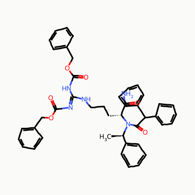 C[C@H](c1ccccc1)N(C(=O)C(c1ccccc1)c1ccccc1)[C@H](CCCNC(=NC(=O)OCc1ccccc1)NC(=O)OCc1ccccc1)C(N)=O